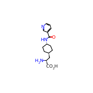 N[C@@H](C[C@H]1CC[C@H](NC(=O)c2cccnc2)CC1)C(=O)O